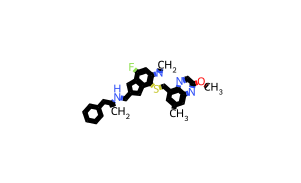 C=Nc1cc(F)c2c(c1SCc1cc(C)cc3nc(OC)cnc13)CC(CNC(=C)CC1CCCCC1)C2